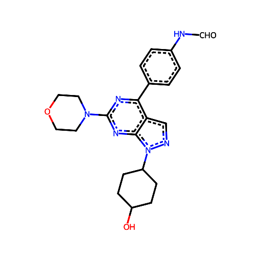 O=CNc1ccc(-c2nc(N3CCOCC3)nc3c2cnn3C2CCC(O)CC2)cc1